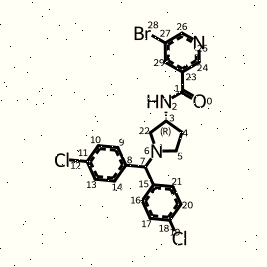 O=C(N[C@@H]1CCN(C(c2ccc(Cl)cc2)c2ccc(Cl)cc2)C1)c1cncc(Br)c1